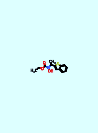 CCOC(=O)N(O)C(C)c1cc2ccccc2s1